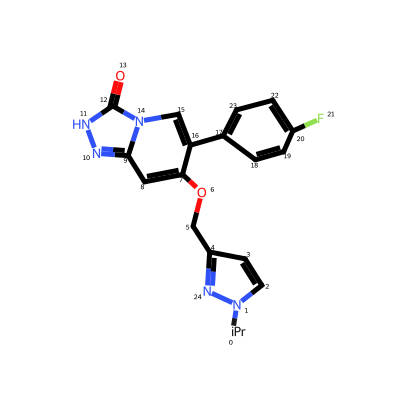 CC(C)n1ccc(COc2cc3n[nH]c(=O)n3cc2-c2ccc(F)cc2)n1